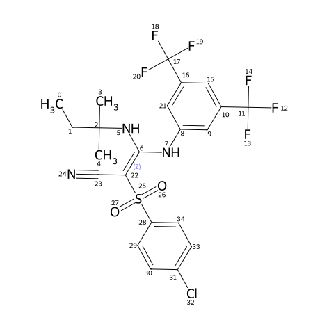 CCC(C)(C)N/C(Nc1cc(C(F)(F)F)cc(C(F)(F)F)c1)=C(\C#N)S(=O)(=O)c1ccc(Cl)cc1